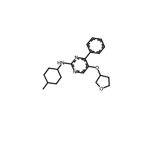 CC1CCC(Nc2ncc(OC3CCOC3)c(-c3ccccc3)n2)CC1